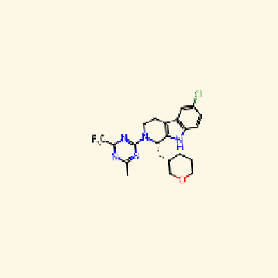 Cc1nc(N2CCc3c([nH]c4ccc(Cl)cc34)[C@@H]2C[C@@H]2CCCOC2)nc(C(F)(F)F)n1